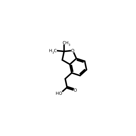 CC1(C)Cc2c(CC(=O)O)cccc2O1